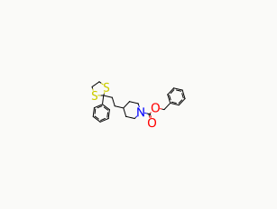 O=C(OCc1ccccc1)N1CCC(CCC2(c3ccccc3)SCCS2)CC1